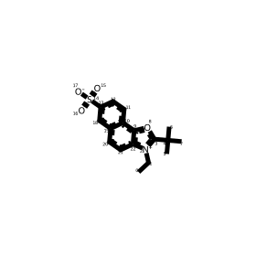 CC[n+]1c(C(C)(C)C)oc2c3ccc(S(=O)(=O)[O-])cc3ccc21